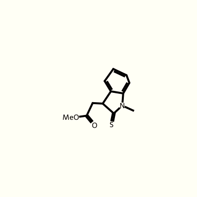 COC(=O)CC1C(=S)N(C)c2ccccc21